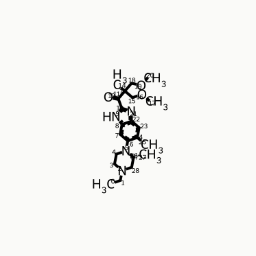 CCN1CCN(c2cc3[nH]c(C(=O)C(C)(COC)COC)nc3cc2C)[C@H](C)C1